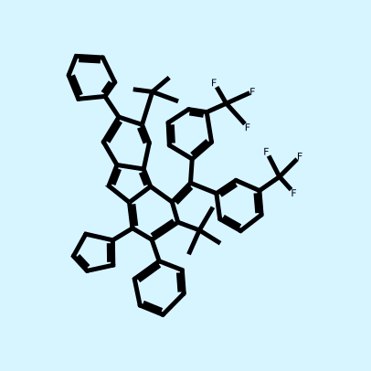 CC(C)(C)c1cc2c(cc1-c1ccccc1)=[C]c1c(C3=CC=CC3)c(-c3ccccc3)c(C(C)(C)C)c(=C(c3cccc(C(F)(F)F)c3)c3cccc(C(F)(F)F)c3)c1=2